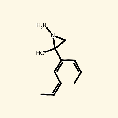 C\C=C/C=C(\C=C/C)C1(O)CN1N